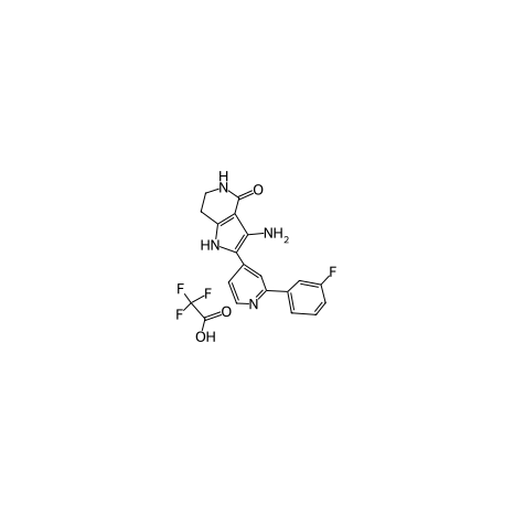 Nc1c(-c2ccnc(-c3cccc(F)c3)c2)[nH]c2c1C(=O)NCC2.O=C(O)C(F)(F)F